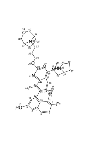 C#Cc1c(F)ccc2cc(O)cc(-c3c(Cl)cc4c(N5CC6CCC(C5)N6)nc(OCCCN5C6CCC5COC6)nc4c3F)c12